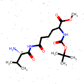 COC(=O)C(CCCC(=O)NC(=O)[C@@H](N)C(C)C)NC(=O)OC(C)(C)C